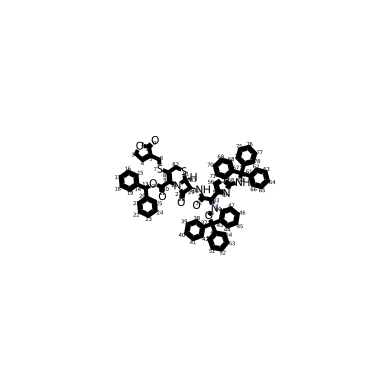 O=C1OCC=C1CSC1=C(C(=O)OC(c2ccccc2)c2ccccc2)N2C(=O)[C@@H](NC(=O)/C(=N\OC(c3ccccc3)(c3ccccc3)c3ccccc3)c3csc(NC(c4ccccc4)(c4ccccc4)c4ccccc4)n3)[C@@H]2SC1